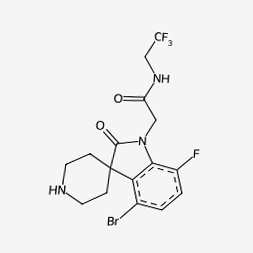 O=C(CN1C(=O)C2(CCNCC2)c2c(Br)ccc(F)c21)NCC(F)(F)F